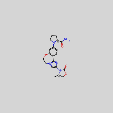 C[C@@H]1COC(=O)N1c1cn2c(n1)-c1ccc(N3CCC[C@H]3C(N)=O)cc1OCC2